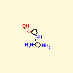 Nc1ccc(N)c(CNc2cccc(OCCO)c2)c1